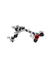 Cc1ncsc1-c1ccc(CNC(=O)[C@@H]2C[C@@H](O)CN2C(=O)C(NC(=O)COCCOCCOCCOc2cc(N3C4CCC3CN(c3cc(-c5ccccc5O)nnc3N)C4)ccn2)C(C)(C)C)cc1